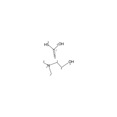 CN(C)CCO.OC(=S)S